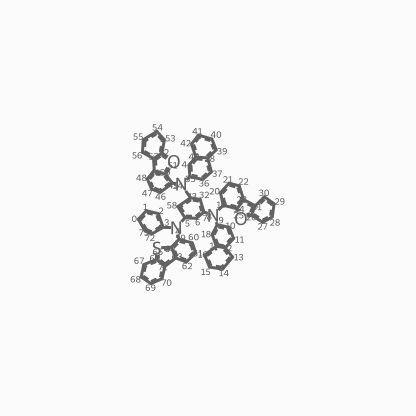 c1ccc(N(c2cc(N(c3ccc4ccccc4c3)c3cccc4c3oc3ccccc34)cc(N(c3ccc4ccccc4c3)c3cccc4c3oc3ccccc34)c2)c2cccc3c2sc2ccccc23)cc1